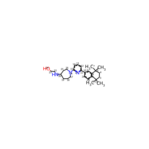 CC1(C)CCC(C)(C)c2cc(-c3cccc(N4CCCC(NCCO)CC4)n3)ccc21